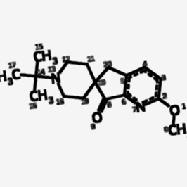 COc1ccc2c(n1)C(=O)C1(CCN(C(C)(C)C)CC1)C2